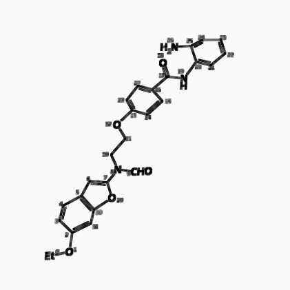 CCOc1ccc2cc(N(C=O)CCOc3ccc(C(=O)Nc4ccccc4N)cc3)oc2c1